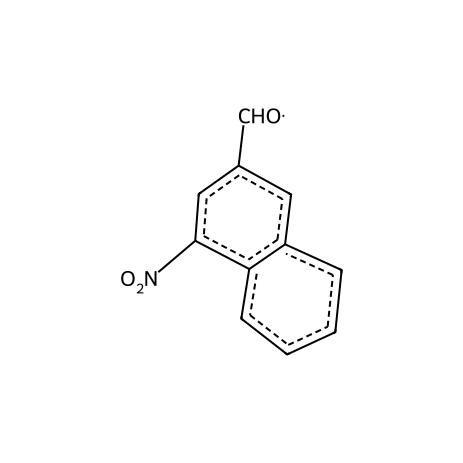 O=[C]c1cc([N+](=O)[O-])c2ccccc2c1